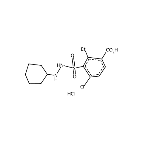 CCc1c(C(=O)O)ccc(Cl)c1S(=O)(=O)NNC1CCCCC1.Cl